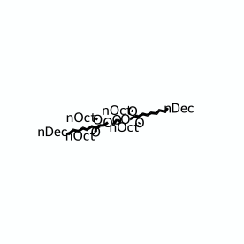 CCCCCCCCCCCCCCCCC(OCCCCCCCC)=C(COCOCOCC(OCCCCCCCC)=C(CCCCCCCCCCCCCCCC)OCCCCCCCC)OCCCCCCCC